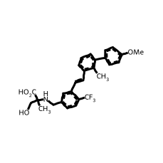 COc1ccc(-c2cccc(C=Cc3cc(CNC(C)(CO)C(=O)O)ccc3C(F)(F)F)c2C)cc1